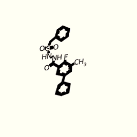 Cc1cc(-c2ccccc2)cc(C(=O)NNS(=O)(=O)Cc2ccccc2)c1F